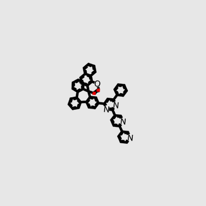 c1ccc(-c2cc(-c3ccc4c(c3)C3(c5ccccc5Oc5c3ccc3ccccc53)c3ccccc3-c3ccccc3-4)nc(-c3ccc(-c4cccnc4)nc3)n2)cc1